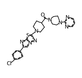 O=C(C1CCN(c2nn3cc(-c4ccc(Cl)cc4)nc3s2)CC1)N1CCN(c2ncccn2)CC1